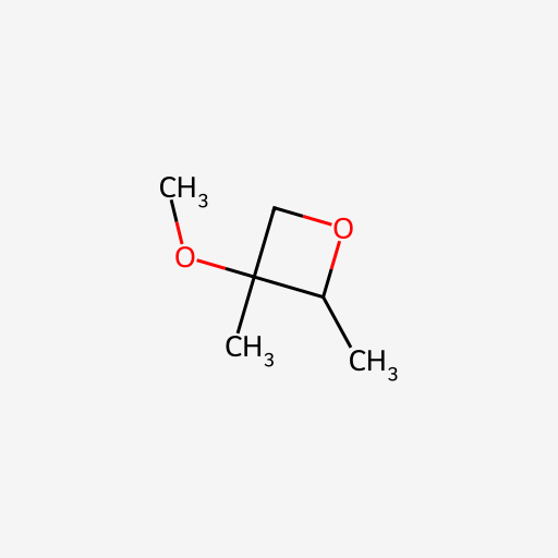 COC1(C)COC1C